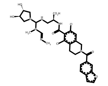 C/N=C/N(C)C(NC[C@H](NC(=O)c1c(Cl)cc2c(c1Cl)CCN(C(=O)c1ccc3ccoc3c1)C2)C(=O)O)N1C[C@@H](O)[C@H](O)C1